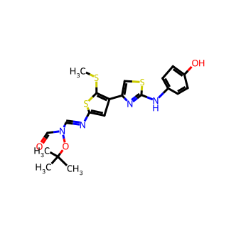 CSc1sc(N=CN(C=O)OC(C)(C)C)cc1-c1csc(Nc2ccc(O)cc2)n1